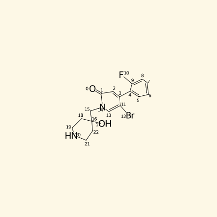 O=c1cc(-c2ccccc2F)c(Br)cn1CC1(O)CCNCC1